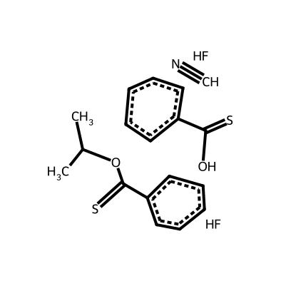 C#N.CC(C)OC(=S)c1ccccc1.F.F.OC(=S)c1ccccc1